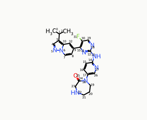 CC(C)c1cnn2ccc(-c3nc(Nc4ccc(N5CCCNCC5=O)cn4)ncc3F)cc12